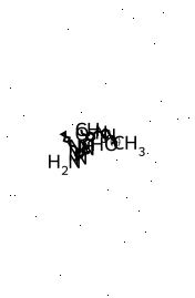 COc1cc(CN2CCN(C[C@H](C)O)CC2)ccc1Cn1ncc2nc(N)nc(NCC3CC4(CC4)C3)c21